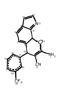 N#CC1=C(N)OC2C(=CC=C3C=CN=C32)C1c1cccc(C(F)(F)F)c1